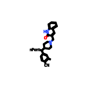 CCCCCC(c1ccc(C#N)c(C)c1)C1CCN(Cc2cc3ccccc3[nH]c2=O)CC1